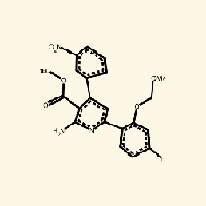 COCOc1cc(F)ccc1-c1cc(-c2cccc([N+](=O)[O-])c2)c(C(=O)OC(C)(C)C)c(N)n1